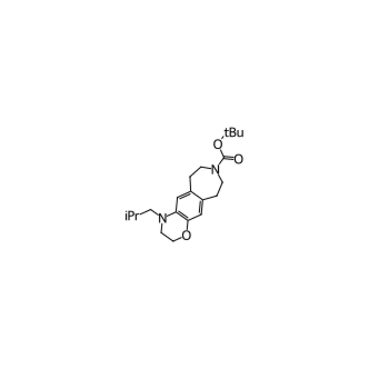 CC(C)CN1CCOc2cc3c(cc21)CCN(C(=O)OC(C)(C)C)CC3